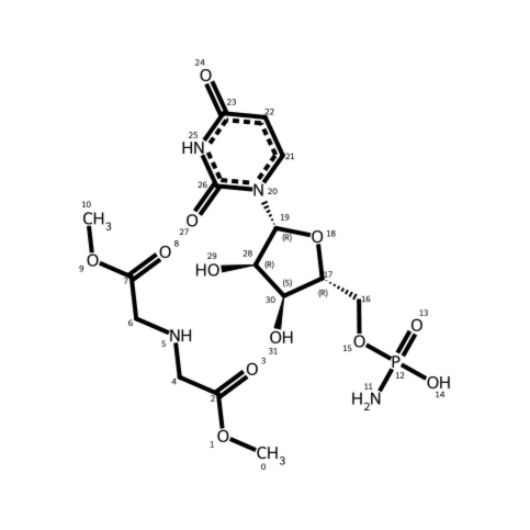 COC(=O)CNCC(=O)OC.NP(=O)(O)OC[C@H]1O[C@@H](n2ccc(=O)[nH]c2=O)[C@H](O)[C@@H]1O